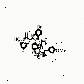 COc1ccc(CC2(N(c3nn(CC(F)F)c4c(-n5c([C@H](Cc6cc(F)cc(F)c6)NC(=O)O)nc6cc(Br)ccc6c5=O)ccc(Cl)c34)[SH](=O)=O)CC2)cc1